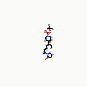 C=C/C(=C\C=C\C(C)N1CCCC1=O)C1=CCN(C(=O)OC(C)(C)C)CC1